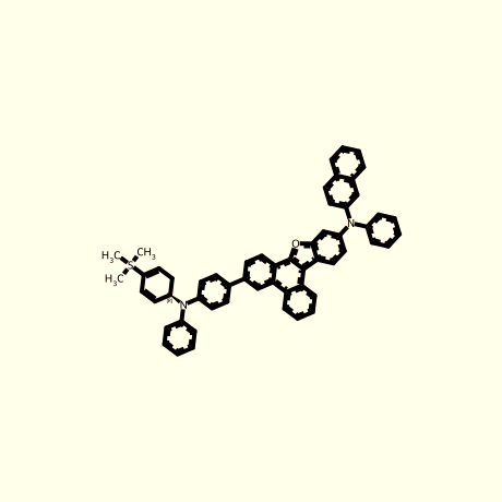 CS(C)(C)C1=CC[C@@H](N(c2ccccc2)c2ccc(-c3ccc4c(c3)c3ccccc3c3c5ccc(N(c6ccccc6)c6ccc7ccccc7c6)cc5oc43)cc2)C=C1